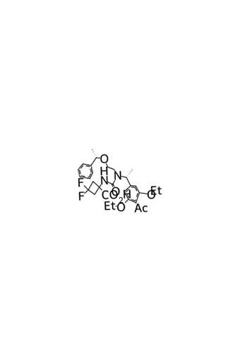 CCOc1cc([C@@H](C)N(CCO[C@@H](C)c2ccccc2)C(=O)NC2(C(=O)O)CC(F)(F)C2)cc(OCC)c1C(C)=O